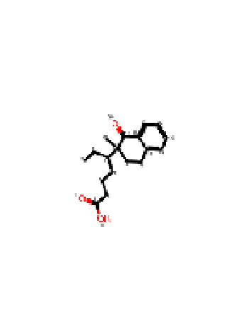 CCC(CCCC(=O)O)C1(C)CCc2ccccc2C1=O